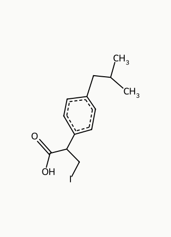 CC(C)Cc1ccc(C(CI)C(=O)O)cc1